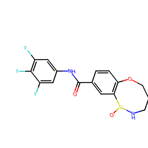 O=C(Nc1cc(F)c(F)c(F)c1)c1ccc2c(c1)[S+]([O-])NCCCO2